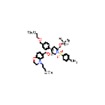 COCCCN1CCOc2ccc(CO[C@H]3CN(S(=O)(=O)c4ccc(C)cc4)[C@H](CO[Si](C(C)C)(C(C)C)C(C)C)C[C@@H]3c3ccc(COCCOC)cc3)cc21